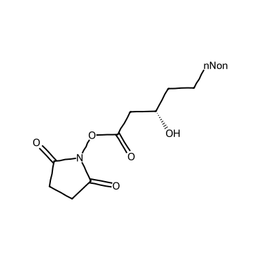 CCCCCCCCCCC[C@H](O)CC(=O)ON1C(=O)CCC1=O